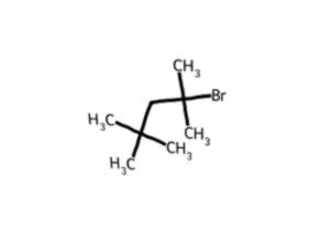 CC(C)(C)CC(C)(C)Br